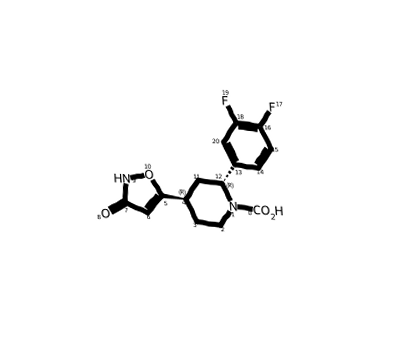 O=C(O)N1CC[C@@H](c2cc(=O)[nH]o2)C[C@@H]1c1ccc(F)c(F)c1